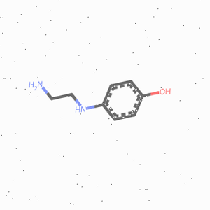 NCCNc1ccc(O)cc1